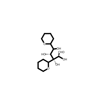 O=C[C@@H](O)[C@@](O)(C1CCCCO1)[C@H](O)C(O)C1CCCCO1